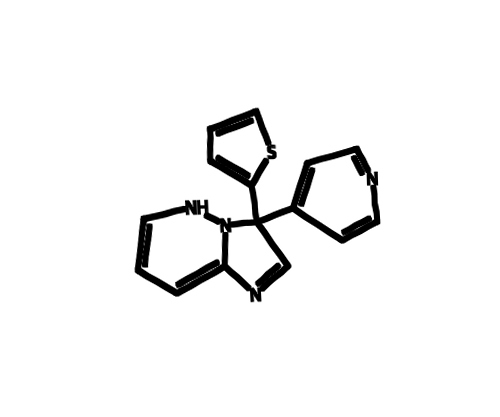 C1=CNN2C(=C1)N=CC2(c1ccncc1)c1cccs1